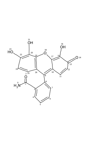 NC(=O)c1ccccc1-c1c2ccc(=O)c(O)c-2oc2c(O)c(O)ccc12